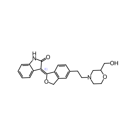 O=C1Nc2ccccc2/C1=C1\OCc2cc(CCN3CCOC(CO)C3)ccc21